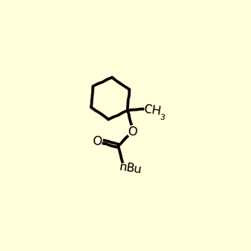 CCCCC(=O)OC1(C)CCCCC1